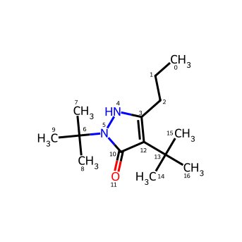 CCCc1[nH]n(C(C)(C)C)c(=O)c1C(C)(C)C